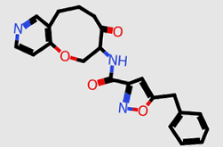 O=C(NC1COc2ccncc2CCCC1=O)c1cc(Cc2ccccc2)on1